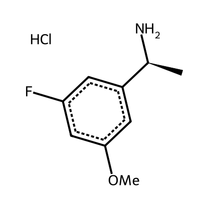 COc1cc(F)cc([C@H](C)N)c1.Cl